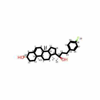 C[C@]12CCC3[C@@H](CC=C4C[C@@H](O)CC[C@@]43C)C1CCC2[C@](C)(O)CCc1ccc(F)cc1